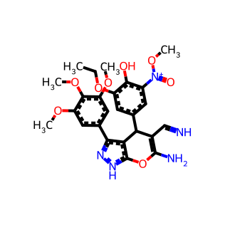 CCOc1cc(C2C(C=N)=C(N)Oc3[nH]nc(-c4cc(OC)c(OC)c(OC)c4)c32)cc([N+](=O)OC)c1O